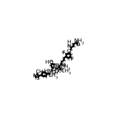 Cc1ncsc1-c1ccc(C(C)NC(=O)[C@@H]2C[C@@H](O)CN2C(=O)C(NC(=O)CCCc2cc(F)cc(OCC(N)CCC(N)=O)c2F)C(C)(C)C)cc1